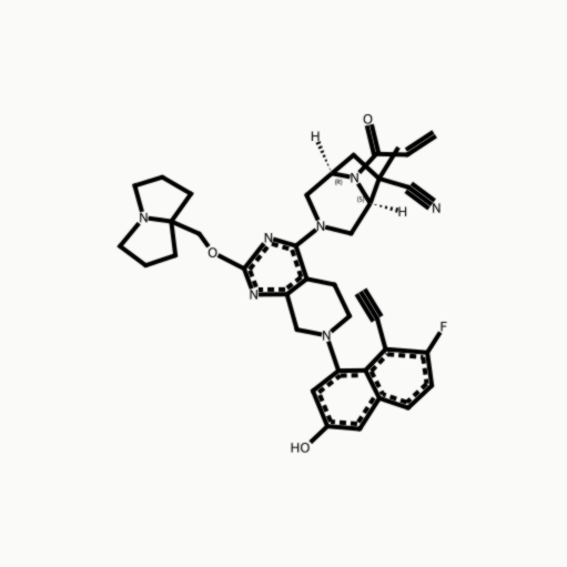 C#Cc1c(F)ccc2cc(O)cc(N3CCc4c(nc(OCC56CCCN5CCC6)nc4N4C[C@H]5CC(C)(C#N)[C@@H](C4)N5C(=O)C=C)C3)c12